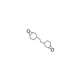 C(CC1CCC2OC2C1)C1CCC2OC2C1